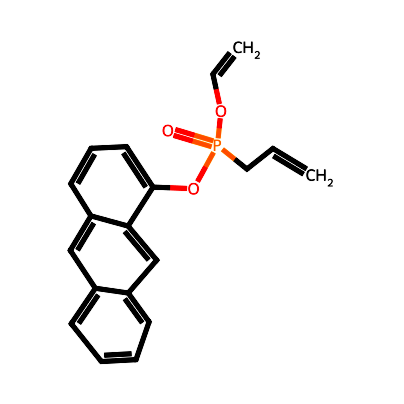 C=CCP(=O)(OC=C)Oc1cccc2cc3ccccc3cc12